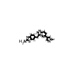 Cn1cc(-c2ccc3nnc(Cc4ccc5nc(N)sc5c4)n3n2)cn1